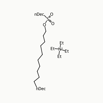 CCCCCCCCCCCCCCCCCCCCOS(=O)(=O)CCCCCCCCCC.CC[N+](CC)(CC)CC